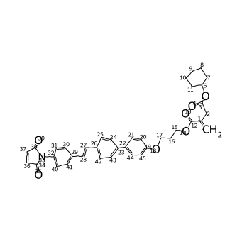 C=C(CC(=O)OC1CCCCC1)C(=O)OCCCOc1ccc(-c2ccc(/C=C/c3ccc(N4C(=O)C=CC4=O)cc3)cc2)cc1